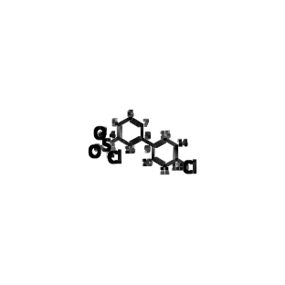 O=S(=O)(Cl)c1cccc(-c2ccc(Cl)cc2)c1